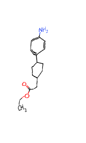 CCOC(=O)CC1CCC(c2ccc(N)cc2)CC1